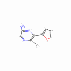 CC(=O)c1ncc(N)nc1-c1ccco1